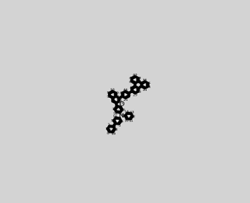 c1ccc(-c2ccc(N(c3ccccc3)c3ccc4c(c3)oc3c(-c5ccc(-c6ccc7c8ccccc8c8ccccc8c7c6)cc5)c5ccccc5cc34)cc2)cc1